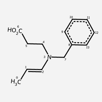 CC=CN(CCC(=O)O)Cc1ccccc1